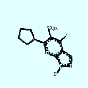 CCOC(=O)c1c(C2CCCC2)nc2c(cnn2CC)c1Cl